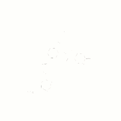 COc1cc(N2CC=C(c3cc(NC(=O)c4c[nH]c(=O)cc4C(F)(F)F)c(N4C[C@@H](C)N(C)[C@@H](C)C4)cc3F)C2)ncn1